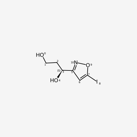 OCC[C@H](O)c1cc(I)on1